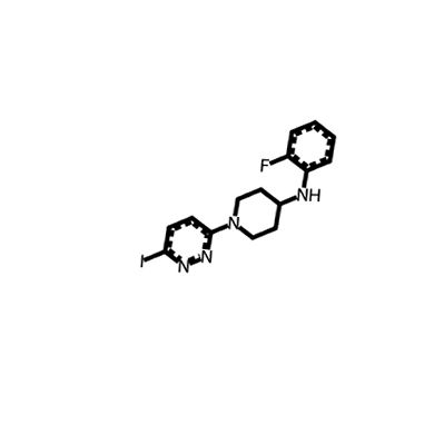 Fc1ccccc1NC1CCN(c2ccc(I)nn2)CC1